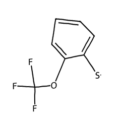 FC(F)(F)Oc1ccccc1[S]